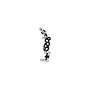 CC1(C)C(C(=O)O)CC1C(=O)OC1CCC2(C)C(CCC3(C)C4CCC5(NCC(C)(C)N6CC[S+]([O-])CC6)CCCC5C4CCC32)C1(C)C